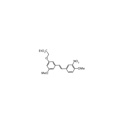 CCOC(=O)COc1cc(C=Cc2ccc(OC)c([N+](=O)[O-])c2)cc(OC)c1